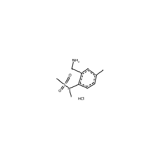 Cc1ccc(N(C)S(C)(=O)=O)c(CN)c1.Cl